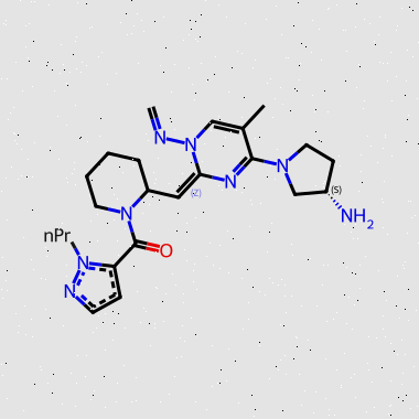 C=NN1C=C(C)C(N2CC[C@H](N)C2)=N/C1=C/C1CCCCN1C(=O)c1ccnn1CCC